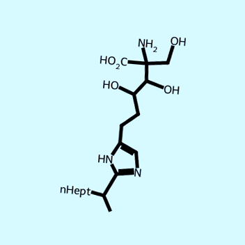 CCCCCCCC(C)c1ncc(CCC(O)C(O)C(N)(CO)C(=O)O)[nH]1